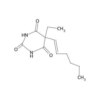 CCCCC=CC1(CC)C(=O)NC(=O)NC1=O